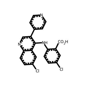 O=C(O)c1cc(Cl)ccc1Nc1c(-c2ccncc2)cnc2ccc(Cl)cc12